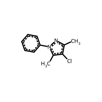 Cc1nn(-c2ccccc2)c(C)c1Cl